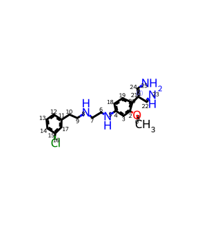 COc1cc(NCCNCCc2cccc(Cl)c2)ccc1/C(C=N)=C/N